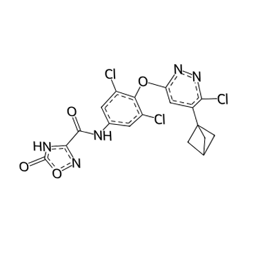 O=C(Nc1cc(Cl)c(Oc2cc(C34CC(C3)C4)c(Cl)nn2)c(Cl)c1)c1noc(=O)[nH]1